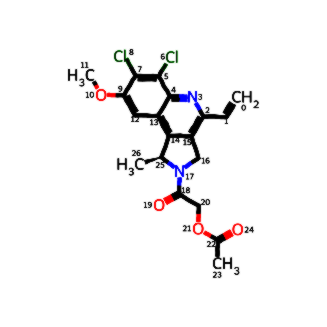 C=Cc1nc2c(Cl)c(Cl)c(OC)cc2c2c1CN(C(=O)COC(C)=O)[C@H]2C